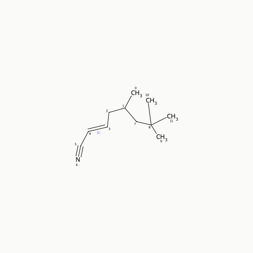 CC(C/C=C/C#N)CC(C)(C)C